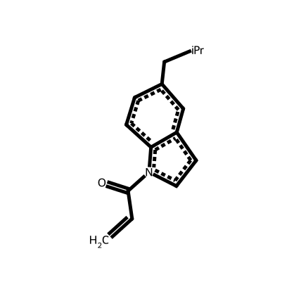 C=CC(=O)n1ccc2cc(CC(C)C)ccc21